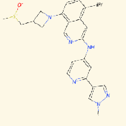 CC(C)c1ccc(N2CC(C[S+](C)[O-])C2)c2cnc(Nc3ccnc(-c4cnn(C)c4)c3)cc12